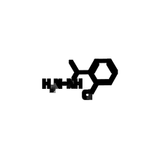 CC(NN)c1ccccc1Cl